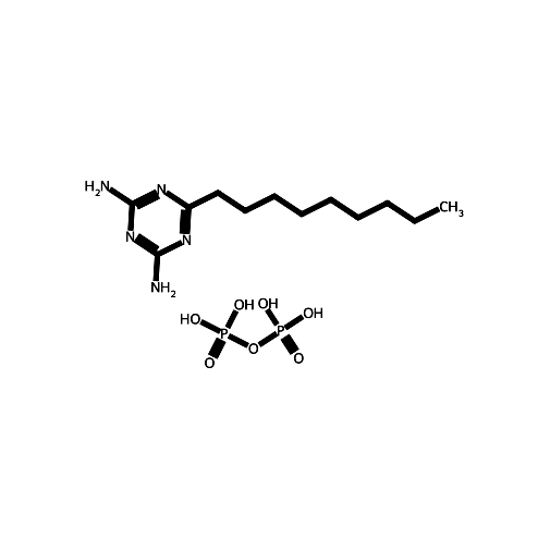 CCCCCCCCCc1nc(N)nc(N)n1.O=P(O)(O)OP(=O)(O)O